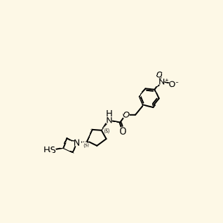 O=C(N[C@H]1CC[C@H](N2CC(S)C2)C1)OCc1ccc([N+](=O)[O-])cc1